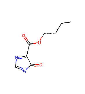 CCCCOC(=O)C1=NC=NC1=O